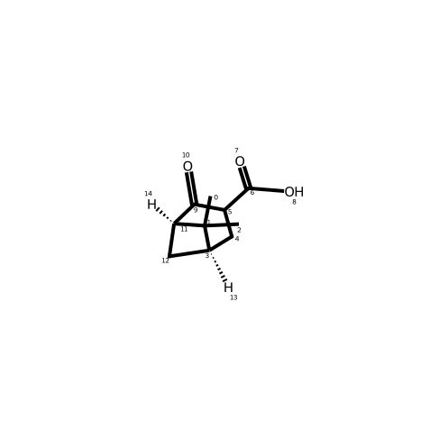 CC1(C)[C@H]2CC(C(=O)O)C(=O)[C@@H]1C2